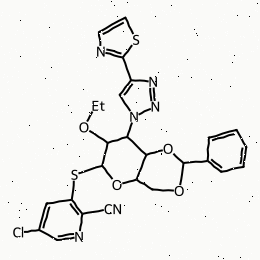 CCOC1C(Sc2cc(Cl)cnc2C#N)OC2COC(c3ccccc3)OC2C1n1cc(-c2nccs2)nn1